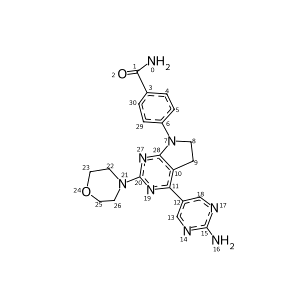 NC(=O)c1ccc(N2CCc3c(-c4cnc(N)nc4)nc(N4CCOCC4)nc32)cc1